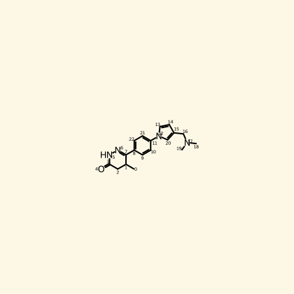 CC1CC(=O)NN=C1c1ccc(-n2ccc(CN(C)C)c2)cc1